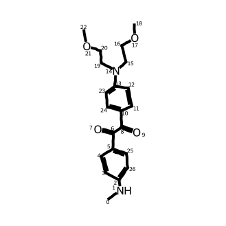 CNc1ccc(C(=O)C(=O)c2ccc(N(CCOC)CCOC)cc2)cc1